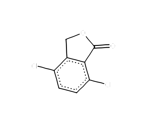 O=C1OCc2c(Cl)ccc(Cl)c21